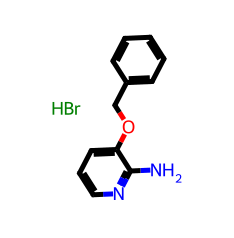 Br.Nc1ncccc1OCc1ccccc1